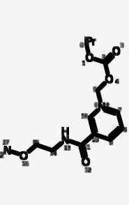 CC(C)OC(=O)OC[n+]1cccc(C(=O)NCCO[N+](=O)[O-])c1